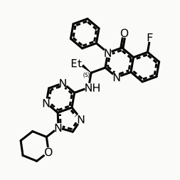 CC[C@H](Nc1ncnc2c1ncn2C1CCCCO1)c1nc2cccc(F)c2c(=O)n1-c1ccccc1